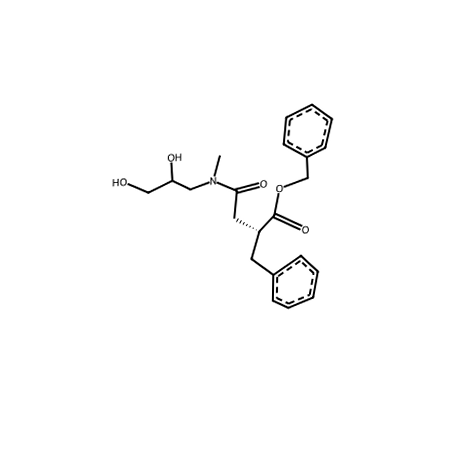 CN(CC(O)CO)C(=O)C[C@@H](Cc1ccccc1)C(=O)OCc1ccccc1